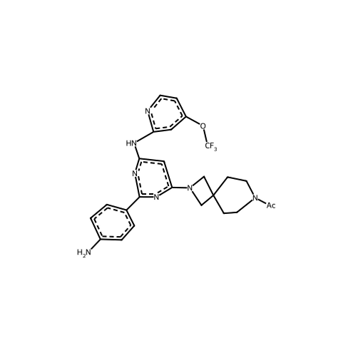 CC(=O)N1CCC2(CC1)CN(c1cc(Nc3cc(OC(F)(F)F)ccn3)nc(-c3ccc(N)cc3)n1)C2